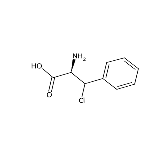 N[C@H](C(=O)O)C(Cl)c1ccccc1